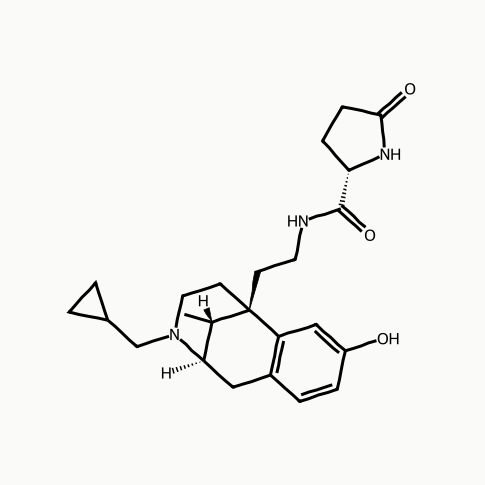 C[C@H]1[C@H]2Cc3ccc(O)cc3[C@@]1(CCNC(=O)[C@@H]1CCC(=O)N1)CCN2CC1CC1